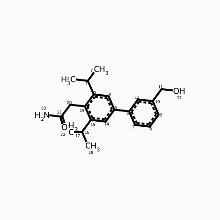 CC(C)c1cc(-c2cccc(CO)c2)cc(C(C)C)c1CC(N)=O